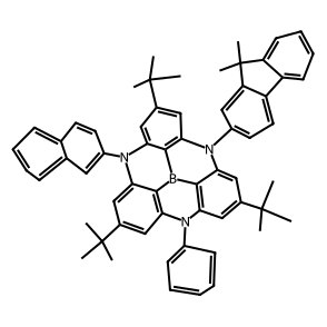 CC(C)(C)c1cc2c3c(c1)N(c1ccc4c(c1)C(C)(C)c1ccccc1-4)c1cc(C(C)(C)C)cc4c1B3c1c(cc(C(C)(C)C)cc1N4c1ccc3ccccc3c1)N2c1ccccc1